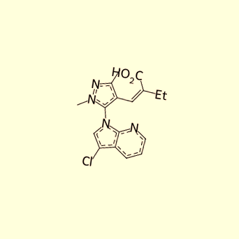 CCC(=Cc1c(C)nn(C)c1-n1cc(Cl)c2cccnc21)C(=O)O